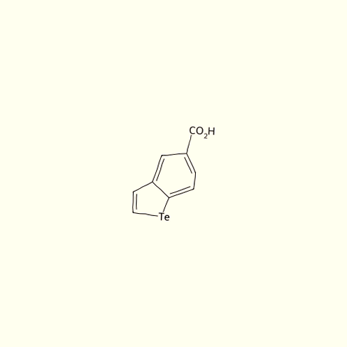 O=C(O)c1ccc2[te]ccc2c1